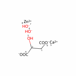 O=C([O-])CC(O)C(=O)[O-].[Ca+2].[OH-].[OH-].[Zn+2]